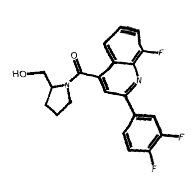 O=C(c1cc(-c2ccc(F)c(F)c2)nc2c(F)cccc12)N1CCCC1CO